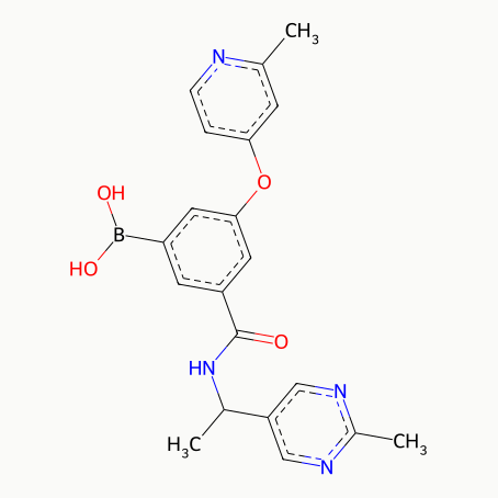 Cc1cc(Oc2cc(B(O)O)cc(C(=O)NC(C)c3cnc(C)nc3)c2)ccn1